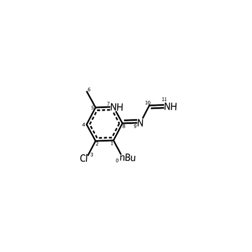 CCCCc1c(Cl)cc(C)[nH]/c1=N\C=N